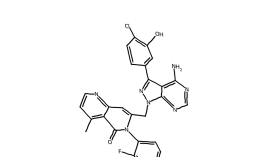 Cc1ccnc2cc(Cn3nc(-c4ccc(Cl)c(O)c4)c4c(N)ncnc43)n(-c3ccccc3F)c(=O)c12